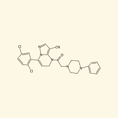 N#Cc1cnn2c1N(C(=O)CN1CCN(c3ccccc3)CC1)CC=C2c1cc(Cl)ccc1Cl